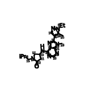 CCn1ncc(-c2nc3c(NC4CC(=O)N(CC(C)C)C4)ncnc3n2C)c1C